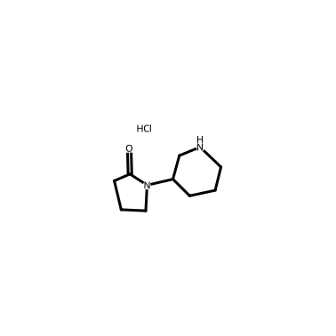 Cl.O=C1CCCN1C1CCCNC1